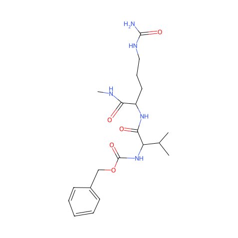 CNC(=O)C(CCCNC(N)=O)NC(=O)C(NC(=O)OCc1ccccc1)C(C)C